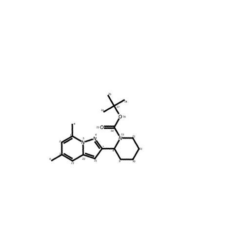 Cc1cc(C)n2nc(C3CCCCN3C(=O)OC(C)(C)C)cc2c1